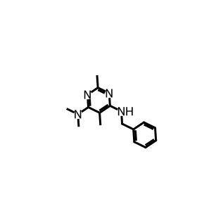 Cc1nc(NCc2ccccc2)c(C)c(N(C)C)n1